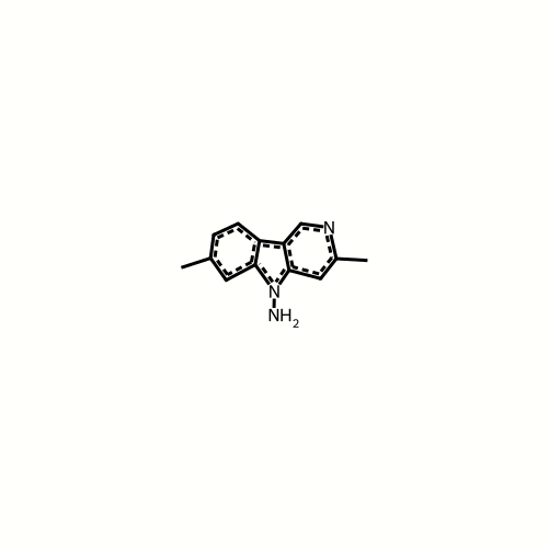 Cc1ccc2c3cnc(C)cc3n(N)c2c1